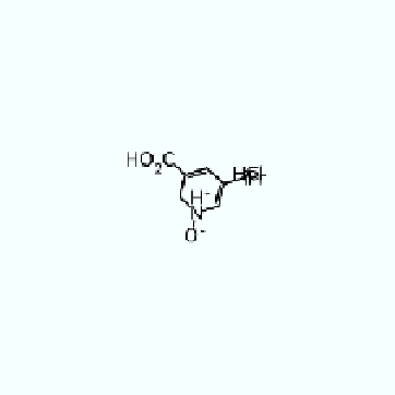 CC(C)C1=C[NH+]([O-])CC(C(=O)O)=C1.Cl